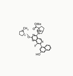 COC(=O)C12CCC(CN(c3nc(OC[C@@H]4CCCN4C)nc4c(F)c(-c5cc(O)cc6ccccc56)ncc34)C1)N2